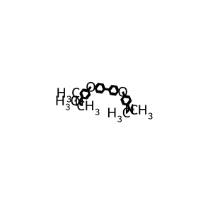 Cc1cc(Oc2ccc(-c3ccc(Oc4ccc(N(C)C)cc4)cc3)cc2)ccc1N(C)C